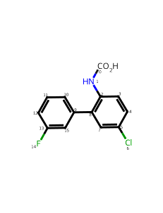 O=C(O)Nc1ccc(Cl)cc1-c1cccc(F)c1